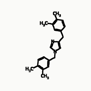 Cc1ccc(Cc2cn(Cc3ccc(C)c(C)c3)cn2)cc1C